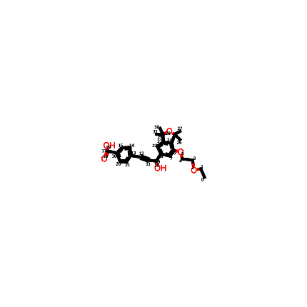 CCOCCOc1cc(C(O)C#Cc2ccc(C(=O)O)cc2)cc2c1C(C)(C)OC2(C)C